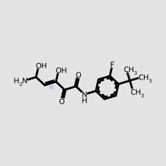 CC(C)(C)c1ccc(NC(=O)C(=O)/C(O)=C/C(N)O)cc1F